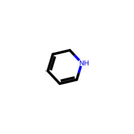 [C]1=CCNC=C1